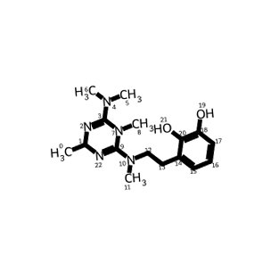 CC1N=C(N(C)C)N(C)C(N(C)CCc2cccc(O)c2O)=N1